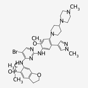 COc1cc(N2CCC(N3CCN(C)CC3)CC2)c(-c2cnn(C)c2)cc1Nc1ncc(Br)c(Nc2cc3c(cc2P(C)(C)=O)CCO3)n1